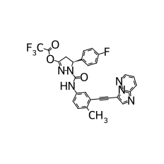 Cc1ccc(NC(=O)N2N=C(OC(=O)C(F)(F)F)C[C@H]2c2ccc(F)cc2)cc1C#Cc1cnc2cccnn12